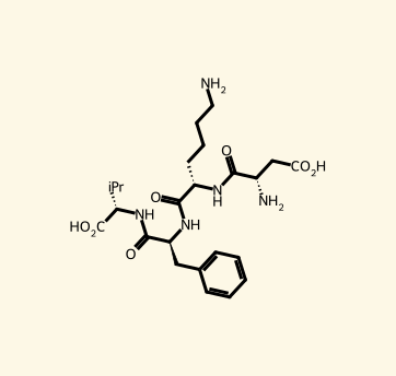 CC(C)[C@H](NC(=O)[C@H](Cc1ccccc1)NC(=O)[C@H](CCCCN)NC(=O)[C@@H](N)CC(=O)O)C(=O)O